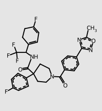 Cc1nc(-c2ccc(C(=O)N3CCC(C(=O)NC(C4=CC=C(F)CC4)C(F)(F)F)(c4ccc(F)cc4)CC3)cc2)no1